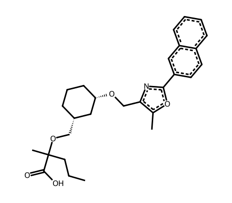 CCCC(C)(OC[C@@H]1CCC[C@H](OCc2nc(-c3ccc4ccccc4c3)oc2C)C1)C(=O)O